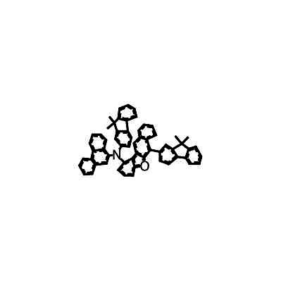 CC1(C)c2ccccc2-c2ccc(-c3c4ccccc4cc4c3oc3cccc(N(c5ccc6c(c5)C(C)(C)c5ccccc5-6)c5cc6ccccc6c6ccccc56)c34)cc21